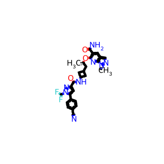 C[C@@H](CC1CC(NC(=O)c2cc(-c3ccc(C#N)cc3)n(C(F)F)n2)C1)Oc1nc2c(cnn2C)cc1C(N)=O